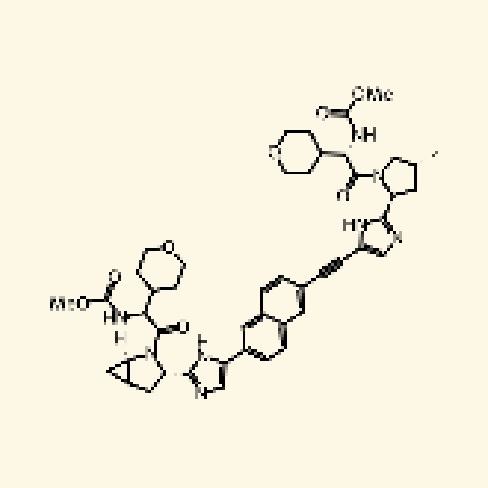 COC(=O)N[C@H](C(=O)N1C[C@H](C)C[C@H]1c1ncc(C#Cc2ccc3cc(-c4cnc([C@@H]5CC6C[C@H]6N5C(=O)[C@@H](NC(=O)OC)C5CCOCC5)[nH]4)ccc3c2)[nH]1)C1CCOCC1